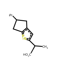 CC(C(=O)O)c1cc2c(s1)CC(C(C)C)C2